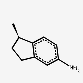 C[C@@H]1CCc2cc(N)ccc21